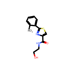 O=C(NCCO)c1csc(-c2ccccc2[N+](=O)[O-])n1